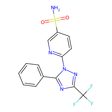 NS(=O)(=O)c1ccc(-n2nc(C(F)(F)F)nc2-c2ccccc2)nc1